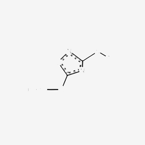 CCCCCOc1nc(SC(C)=O)ns1